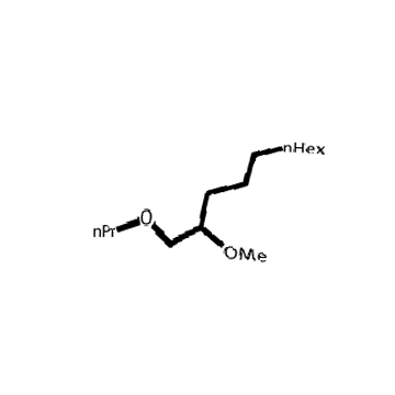 C[CH]COCC(CCCCCCCCC)OC